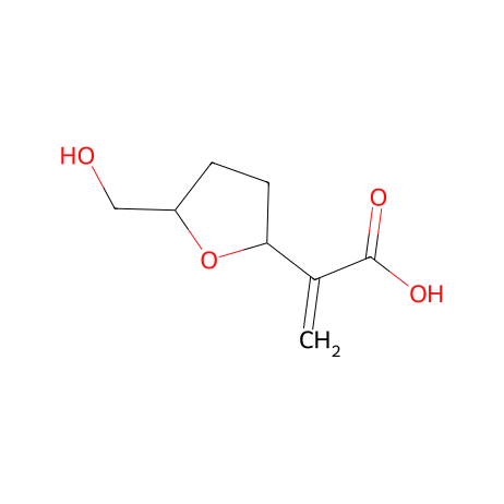 C=C(C(=O)O)C1CCC(CO)O1